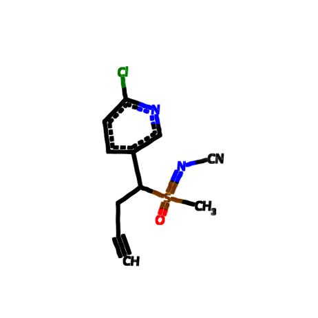 C#CCC(c1ccc(Cl)nc1)S(C)(=O)=NC#N